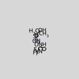 CC(C)(O)c1csc(/[SH](=O)=N/C(=O)Nc2cc(C(F)(F)F)nc3c2CCC3)c1